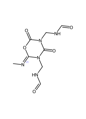 C/N=c1\oc(=O)n(CNC=O)c(=O)n1CNC=O